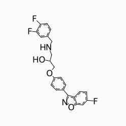 OC(CNCc1ccc(F)c(F)c1)COc1ccc(-c2noc3cc(F)ccc23)cc1